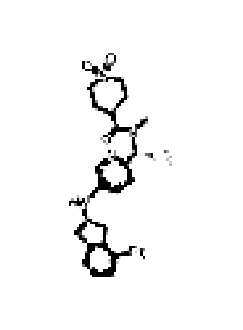 CCc1cccc2c1CC(Nc1ccc([C@H](N(C)C(=O)C3CCS(=O)(=O)CC3)C(F)(F)F)nc1)C2